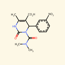 CC1=C(C(=O)O)C(c2cccc([N+](=O)[O-])c2)N(C(=O)N(C)C)C(=O)N1